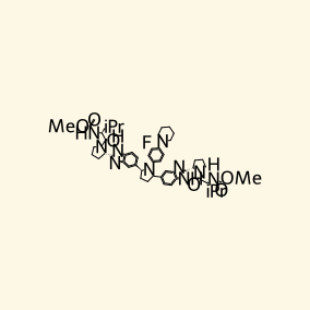 COC(=O)NC(C(=O)N1CCC[C@H]1c1nc2cc(C3CC[C@@H](c4ccc5[nH]c([C@@H]6CCCN6C(=O)[C@@H](NC(=O)OC)C(C)C)nc5c4)N3c3ccc(N4CCCCC4)c(F)c3)ccc2[nH]1)C(C)C